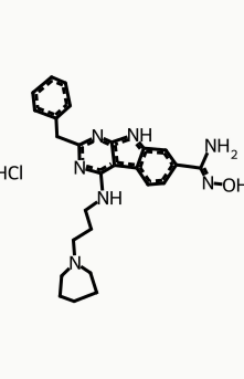 Cl.N/C(=N\O)c1ccc2c(c1)[nH]c1nc(Cc3ccccc3)nc(NCCCN3CCCCC3)c12